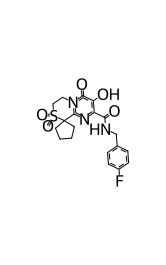 O=C(NCc1ccc(F)cc1)c1nc2n(c(=O)c1O)CCS(=O)(=O)C21CCCC1